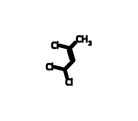 C/C(Cl)=C/C(Cl)Cl